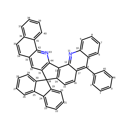 c1ccc(-c2c3ccccc3nc3c4c(ccc23)C2(c3ccccc3-c3ccccc32)c2cc3ccc5ccccc5c3nc2-4)cc1